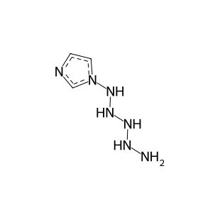 NNNNNn1ccnc1